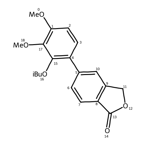 COc1ccc(-c2ccc3c(c2)COC3=O)c(OCC(C)C)c1OC